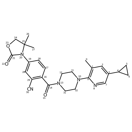 Cc1cc(C2CC2)cnc1N1CCN(C(=O)c2ccc(N3C(=O)OCC3(C)C)cc2C#N)CC1